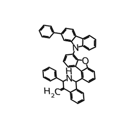 C=C1c2ccccc2C(c2cccc3oc4c(-n5c6ccccc6c6ccc(-c7ccccc7)cc65)cccc4c23)NC1c1ccccc1